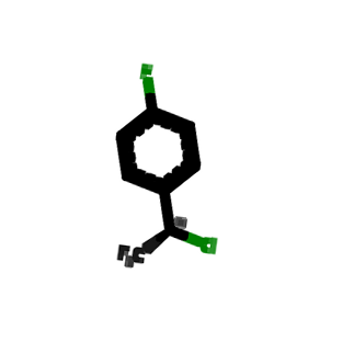 Fc1ccc([C@@H](Cl)C(F)(F)F)cc1